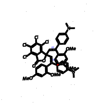 COc1ccc(/C(=C\C2(/C=C(/c3ccc(N(C)C)cc3)c3ccc(OC)cc3OC)OC(=O)c3c(Cl)c(Cl)c(Cl)c(Cl)c32)c2ccc(N(C)C)cc2)c(OC)c1